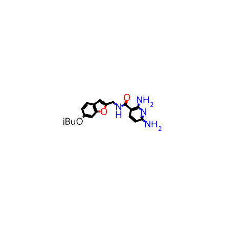 CC(C)COc1ccc2cc(CNC(=O)c3ccc(N)nc3N)oc2c1